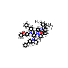 Cc1cc(C)c2c(c1)N(c1ccc3c(c1)N(c1cccc4c1oc1ccccc14)c1cc(N4c5ccc(-c6ccccc6)cc5C5(C)CCCCC45C)cc4c1B3c1ccc(-c3ccccc3)cc1N4c1ccc3c(c1)oc1ccccc13)C1(C)CCCCC21C